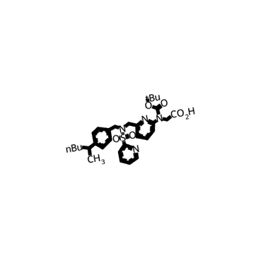 CCCCC(C)c1ccc(CN(Cc2cccc(N(CC(=O)O)C(=O)OC(C)(C)C)n2)S(=O)(=O)c2ccccn2)cc1